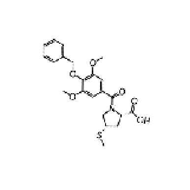 COc1cc(C(=O)N2C[C@@H](SC)C[C@H]2C(=O)O)cc(OC)c1OCc1ccccc1